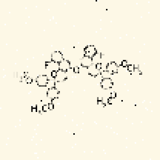 COc1ccc(C2(c3ccc(OC)cc3)C=Cc3c(Oc4cc5cccc(F)c5c5c4C=CC(c4ccc(OC)cc4)(c4ccc(OC)cc4)O5)cc4cccc(F)c4c3O2)cc1